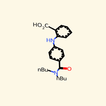 CCCCN(CCCC)C(=O)c1ccc(Nc2ccccc2C(=O)O)cc1